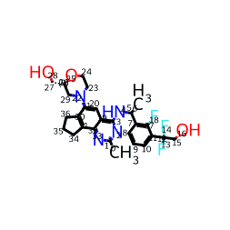 Cc1nc(NC(C)c2cccc(C(F)(F)CO)c2F)c2cc(N3CCO[C@@H](CO)C3)c3c(c2n1)CCC3